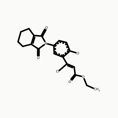 CCOC(=O)/C=C(\Cl)c1cc(N2C(=O)C3=C(CCCC3)C2=O)ccc1Cl